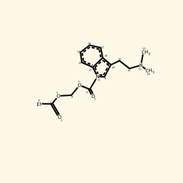 CCC(=O)OCOC(=O)n1cc(CCN(C)C)c2ccccc21